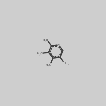 Bc1ncc(C)c(C)c1C